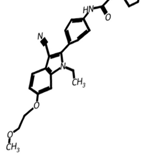 CCn1c(-c2ccc(NC(=O)OC3CCCC3)cc2)c(C#N)c2ccc(OCCOC)cc21